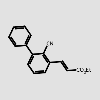 CCOC(=O)C=Cc1cccc(-c2ccccc2)c1C#N